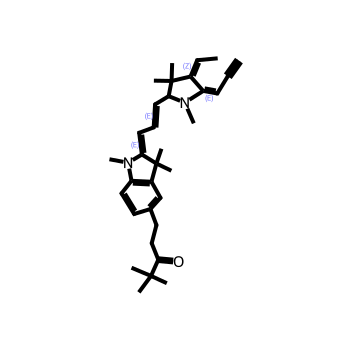 C#C/C=C1\C(=C/C)C(C)(C)C(/C=C/C=C2/N(C)c3ccc(CCC(=O)C(C)(C)C)cc3C2(C)C)N1C